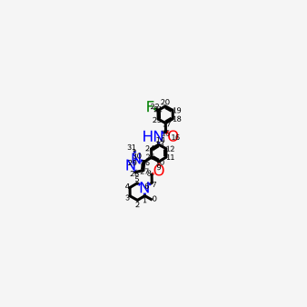 CC1CCCCN1CCOc1ccc(NC(=O)c2cccc(F)c2)cc1-c1ccnn1C